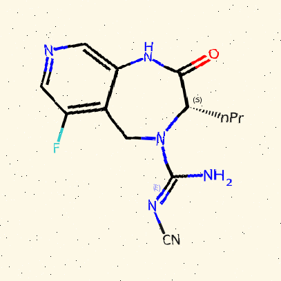 CCC[C@H]1C(=O)Nc2cncc(F)c2CN1/C(N)=N/C#N